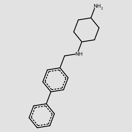 NC1CCC(NCc2ccc(-c3ccccc3)cc2)CC1